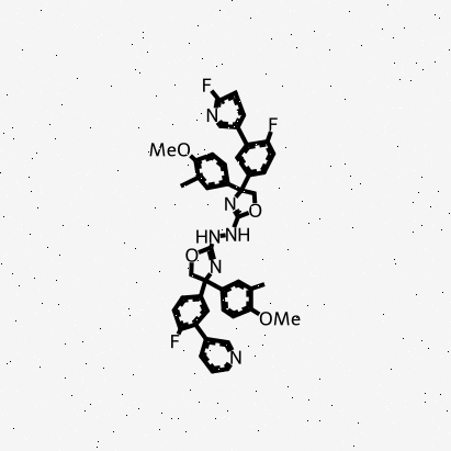 COc1ccc(C2(c3ccc(F)c(-c4cccnc4)c3)COC(NNC3=NC(c4ccc(OC)c(C)c4)(c4ccc(F)c(-c5ccc(F)nc5)c4)CO3)=N2)cc1C